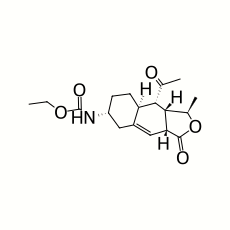 CCOC(=O)N[C@@H]1CC[C@@H]2C(=C[C@H]3C(=O)O[C@H](C)[C@H]3[C@H]2C(C)=O)C1